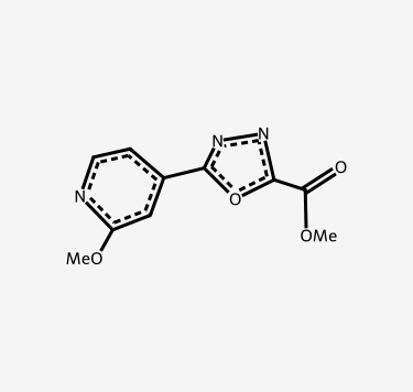 COC(=O)c1nnc(-c2ccnc(OC)c2)o1